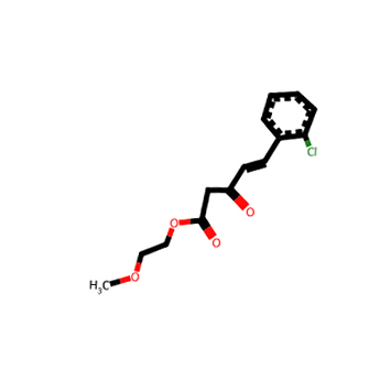 COCCOC(=O)CC(=O)C=Cc1ccccc1Cl